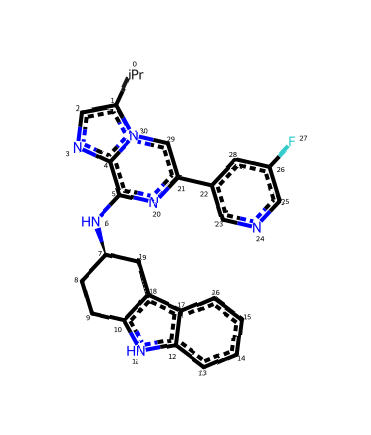 CC(C)c1cnc2c(N[C@@H]3CCc4[nH]c5ccccc5c4C3)nc(-c3cncc(F)c3)cn12